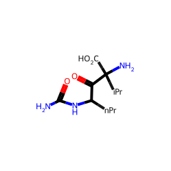 CCCC(NC(N)=O)C(=O)C(N)(C(=O)O)C(C)C